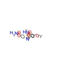 CCNS(=O)(=O)c1cc(COCC(C)C)ccc1-c1cnc([C@H]2CC[C@H](OC(N)=O)CC2)s1